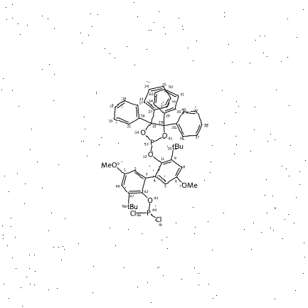 COc1cc(-c2cc(OC)cc(C(C)(C)C)c2OP2OC(c3ccccc3)(c3ccccc3)C(c3ccccc3)(c3ccccc3)O2)c(OP(Cl)Cl)c(C(C)(C)C)c1